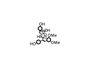 COc1cc(/C=C(\C(=O)NC(Cc2ccc(O)cc2)C(=O)NO)c2ccc(O)cc2)cc(OC)c1